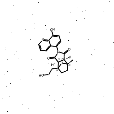 C[C@@]12CC[C@@](CCO)(O1)[C@H]1C(=O)N(c3ccc(C#N)c4ncccc34)C(=O)[C@H]12